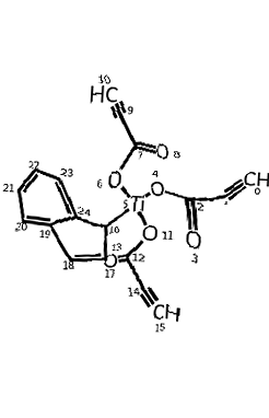 C#CC(=O)[O][Ti]([O]C(=O)C#C)([O]C(=O)C#C)[CH]1C=Cc2ccccc21